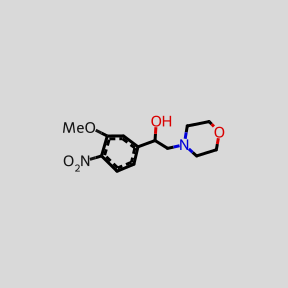 COc1cc(C(O)CN2CCOCC2)ccc1[N+](=O)[O-]